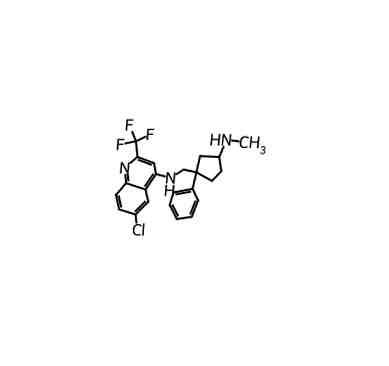 CNC1CCC(CNc2cc(C(F)(F)F)nc3ccc(Cl)cc23)(c2ccccc2)C1